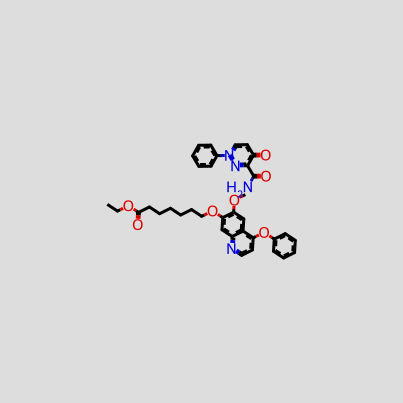 CCOC(=O)CCCCCCOc1cc2nccc(Oc3ccccc3)c2cc1OC.NC(=O)c1nn(-c2ccccc2)ccc1=O